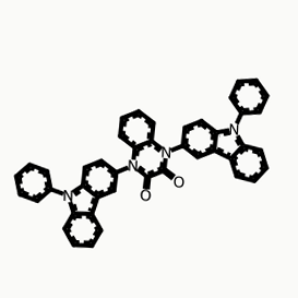 O=c1c(=O)n(-c2ccc3c(c2)c2ccccc2n3-c2ccccc2)c2ccccc2n1-c1ccc2c(c1)c1ccccc1n2-c1ccccc1